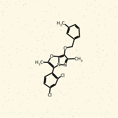 Cc1cccc(COc2c(C)nn3c(-c4ccc(Cl)cc4Cl)c(C)oc23)c1